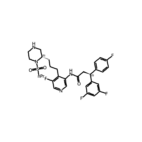 CCCS(=O)(=O)N1CCNC[C@@H]1CCCc1c(F)cncc1NC(=O)C[C@@H](c1ccc(F)cc1)c1cc(F)cc(F)c1